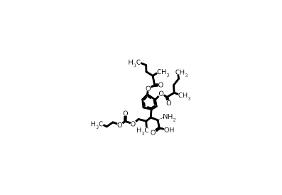 CCCOC(=O)OCC(C)C(c1ccc(OC(=O)C(C)CCC)c(OC(=O)C(C)CCC)c1)[C@H](N)C(=O)O